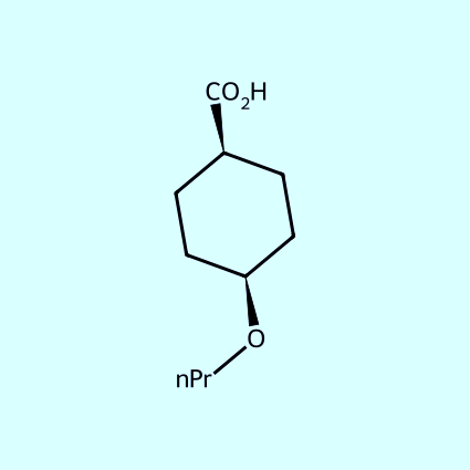 CCCO[C@H]1CC[C@@H](C(=O)O)CC1